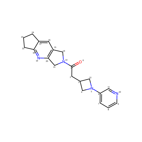 O=C(CC1CN(c2cccnc2)C1)N1Cc2cc3c(nc2C1)CCC3